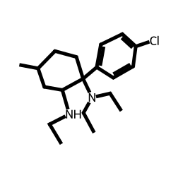 CCNC1CC(C)CCC1(c1ccc(Cl)cc1)N(CC)CC